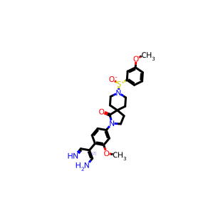 COc1cccc([S+]([O-])N2CCC3(CCN(c4ccc(/C(C=N)=C/N)c(OC)c4)C3=O)CC2)c1